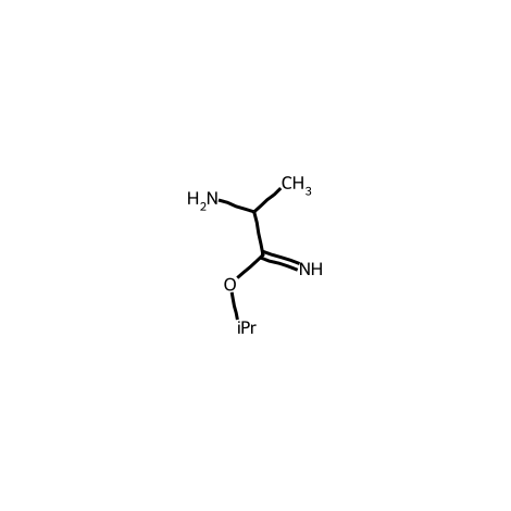 CC(C)OC(=N)C(C)N